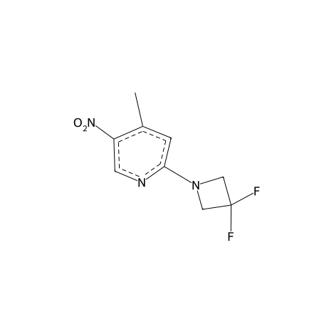 Cc1cc(N2CC(F)(F)C2)ncc1[N+](=O)[O-]